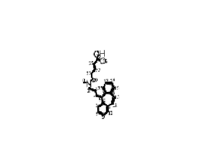 CN(CCC=C1c2ccccc2C=Cc2ccccc21)CCCCC(=O)O